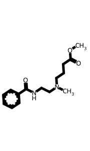 COC(=O)CCCN(C)CCNC(=O)c1ccccc1